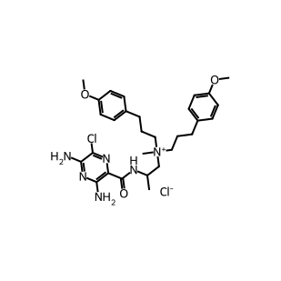 COc1ccc(CCC[N+](C)(CCCc2ccc(OC)cc2)CC(C)NC(=O)c2nc(Cl)c(N)nc2N)cc1.[Cl-]